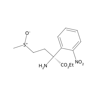 CCOC(=O)[C@](N)(CC[S+](C)[O-])c1ccccc1[N+](=O)[O-]